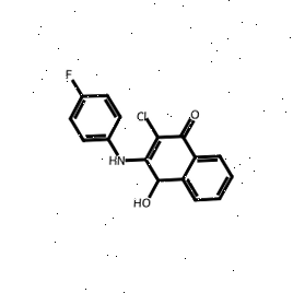 O=C1C(Cl)=C(Nc2ccc(F)cc2)C(O)c2ccccc21